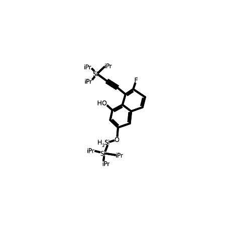 CC(C)[Si](C#Cc1c(F)ccc2cc(O[SiH2][Si](C(C)C)(C(C)C)C(C)C)cc(O)c12)(C(C)C)C(C)C